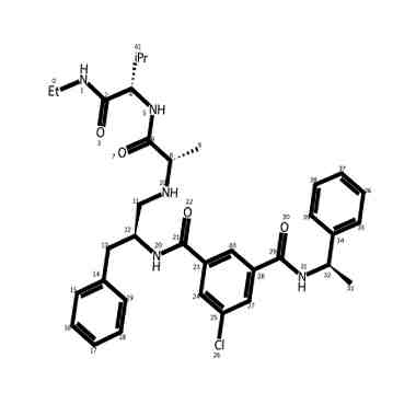 CCNC(=O)[C@@H](NC(=O)[C@H](C)NC[C@H](Cc1ccccc1)NC(=O)c1cc(Cl)cc(C(=O)N[C@H](C)c2ccccc2)c1)C(C)C